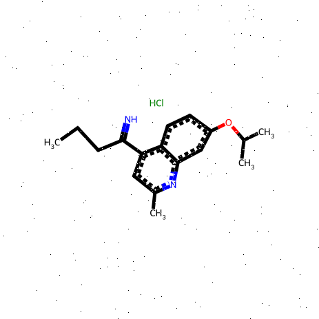 CCCC(=N)c1cc(C)nc2cc(OC(C)C)ccc12.Cl